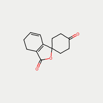 O=C1CCC2(CC1)OC(=O)C1=C2C=CCC1